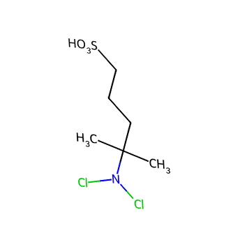 CC(C)(CCCS(=O)(=O)O)N(Cl)Cl